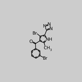 Cc1[nH]c(C2=NN=N2)c(Br)c1C(=O)c1cccc(Br)c1